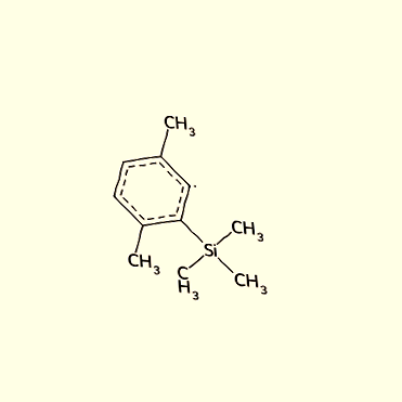 Cc1[c]c([Si](C)(C)C)c(C)cc1